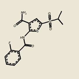 CC(C)S(=O)(=O)c1cc(C(N)=O)c(NC(=O)c2ccccc2F)s1